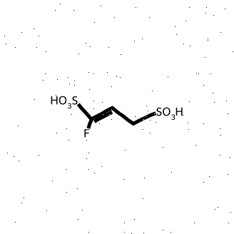 O=S(=O)(O)CC=C(F)S(=O)(=O)O